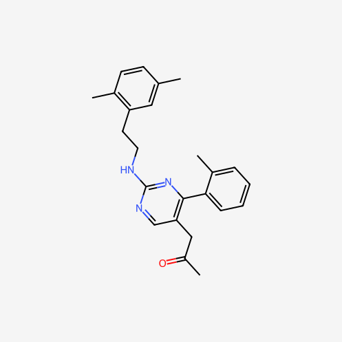 CC(=O)Cc1cnc(NCCc2cc(C)ccc2C)nc1-c1ccccc1C